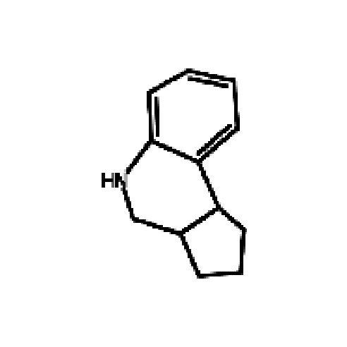 c1ccc2c(c1)NCC1CCCC21